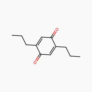 CCCC1=CC(=O)C(CCC)=CC1=O